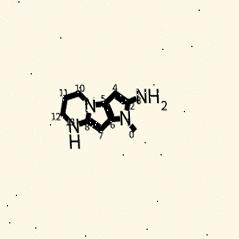 Cn1c(N)cc2c1cc1n2CCCN1